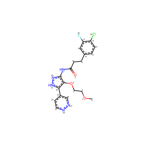 COCCOc1c(NC(=O)CCc2ccc(Cl)c(F)c2)n[nH]c1-c1ccnnc1